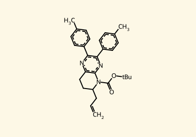 C=CCC1CCc2nc(-c3ccc(C)cc3)c(-c3ccc(C)cc3)nc2N1C(=O)OC(C)(C)C